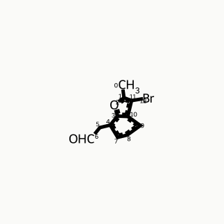 Cc1oc2c(CC=O)cccc2c1Br